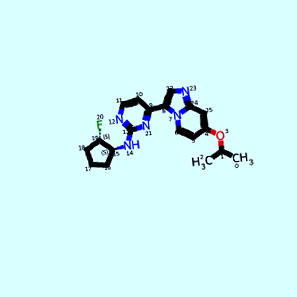 CC(C)Oc1ccn2c(-c3ccnc(N[C@H]4CCC[C@@H]4F)n3)cnc2c1